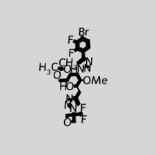 CO[C@@H]1[C@@H](n2cc(-c3ccc(Br)c(F)c3F)nn2)[C@H]2OC(C)(C)OC[C@H]2O[C@@H]1Cc1cn(C2(C(F)F)COC2)nn1